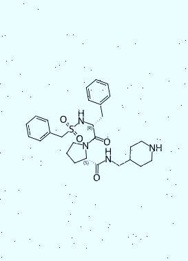 O=C(NCC1CCNCC1)[C@@H]1CCCN1C(=O)[C@@H](Cc1ccccc1)NS(=O)(=O)Cc1ccccc1